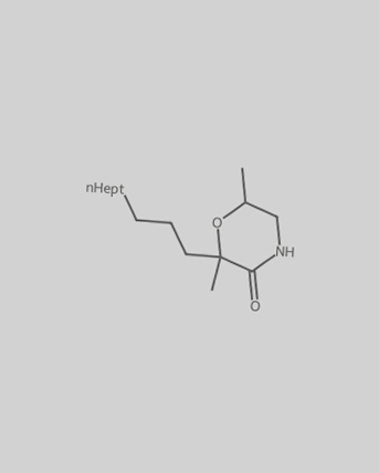 CCCCCCCCCCC1(C)OC(C)CNC1=O